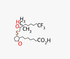 CC(C)(CCCCCC(F)(F)F)C(O)CSC1CCC(=O)C1CCCCCCC(=O)O